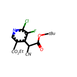 CCOC(=O)c1cnc(Cl)c(F)c1C(C#N)C(=O)OC(C)(C)C